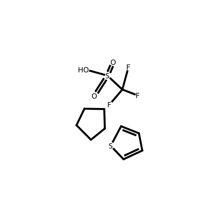 C1CCCC1.O=S(=O)(O)C(F)(F)F.c1ccsc1